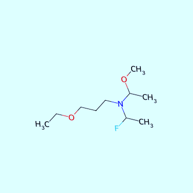 CCOCCCN(C(C)F)C(C)OC